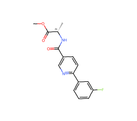 COC(=O)[C@H](C)NC(=O)c1ccc(-c2cccc(F)c2)nc1